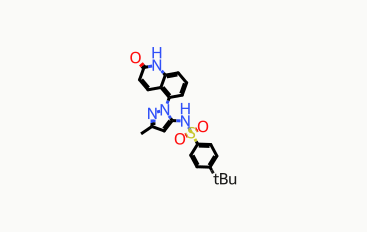 Cc1cc(NS(=O)(=O)c2ccc(C(C)(C)C)cc2)n(-c2cccc3[nH]c(=O)ccc23)n1